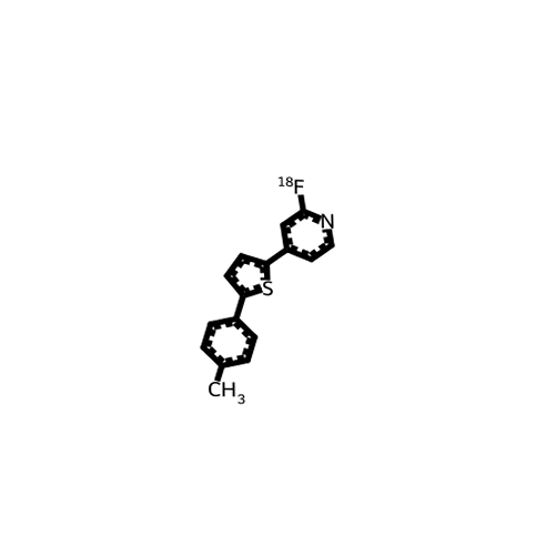 Cc1ccc(-c2ccc(-c3ccnc([18F])c3)s2)cc1